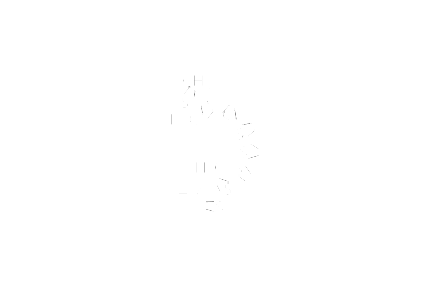 Cc1csc(-c2sc(-c3ccc(-c4ccc(-c5ccc(-c6ccc(-c7sc(-c8sccc8C)cc7C)s6)s5)s4)s3)cc2C)c1